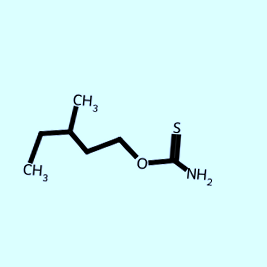 CCC(C)CCOC(N)=S